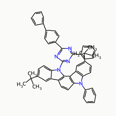 CC(C)(C)c1ccc2c(c1)c1c(ccc3c4cc(C(C)(C)C)ccc4n(-c4nc(-c5ccccc5)nc(-c5ccc(-c6ccccc6)cc5)n4)c31)n2-c1ccccc1